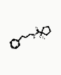 NC1(C(=O)NCCCc2ccccc2)CCCC1